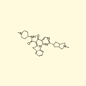 CN1CCC(NC(=O)c2c(=O)c3cnc(C4CC5CN(C)CC5C4)nc3n3c2sc2ccccc23)CC1